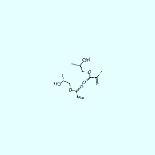 C=C(C)C(=O)OCC(C)O.C=CC(=O)OCC(C)O